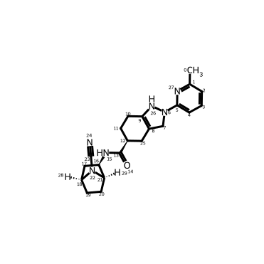 Cc1cccc(N2CC3=C(CC[C@H](C(=O)N[C@@H]4C[C@@H]5CC[C@H]4N5C#N)C3)N2)n1